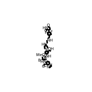 COc1cc(N2CCC(NCCNCCc3cc(F)c(C4CCC(=O)NC4=O)c(F)c3)CC2)c(C(C)O)cc1Nc1ncc(Br)c(Nc2ccc3nccnc3c2P(C)(C)=O)n1